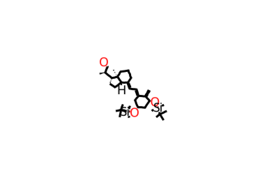 C=C1/C(=C/C=C2\CCC[C@]3(C)[C@@H]([C@@H](C)C=O)CC[C@@H]23)C[C@@H](O[Si](C)(C)C(C)(C)C)C[C@@H]1O[Si](C)(C)C(C)(C)C